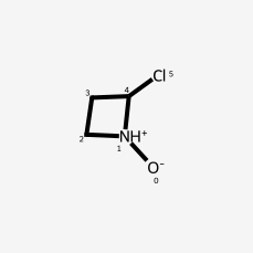 [O-][NH+]1CCC1Cl